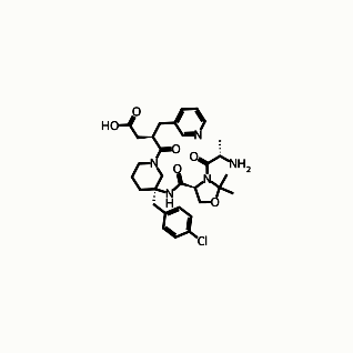 C[C@H](N)C(=O)N1[C@H](C(=O)N[C@@]2(Cc3ccc(Cl)cc3)CCCN(C(=O)[C@@H](CC(=O)O)Cc3cccnc3)C2)COC1(C)C